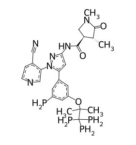 C[C@H]1C(=O)N(C)C[C@@H]1C(=O)Nc1cc(-c2cc(P)cc(OC(C)(C)C(P)(P)P)c2)n(-c2cnccc2C#N)n1